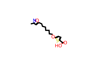 Cc1cc(CCCCCCCOc2ccc(C(=O)O)s2)on1